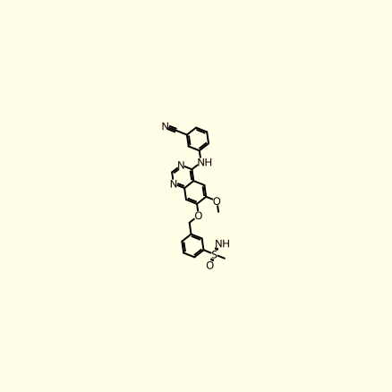 COc1cc2c(Nc3cccc(C#N)c3)ncnc2cc1OCc1cccc(S(C)(=N)=O)c1